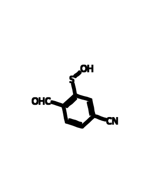 N#Cc1ccc(C=O)c(SO)c1